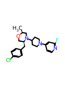 C[C@H]1CN(C2CCN(c3ccnc(F)c3)CC2)[C@@H](Cc2ccc(Cl)cc2)CO1